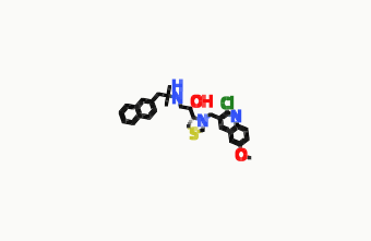 COc1ccc2nc(Cl)c(CN3CSC[C@@H]3[C@@H](O)CNC(C)(C)Cc3ccc4ccccc4c3)cc2c1